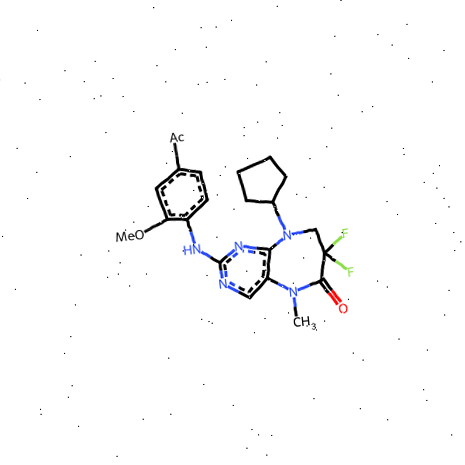 COc1cc(C(C)=O)ccc1Nc1ncc2c(n1)N(C1CCCC1)CC(F)(F)C(=O)N2C